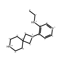 CCNc1cnccc1N1CC2(CCNCC2)C1